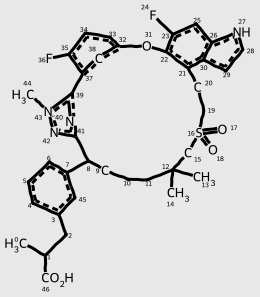 CC(Cc1cccc(C2CCCC(C)(C)CS(=O)(=O)CCc3c(c(F)cc4[nH]ccc34)Oc3ccc(F)c(c3)-c3nc2nn3C)c1)C(=O)O